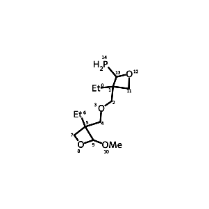 CCC1(COCC2(CC)COC2OC)COC1P